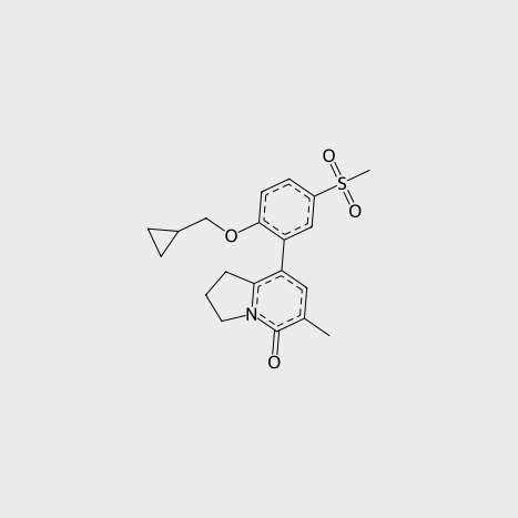 Cc1cc(-c2cc(S(C)(=O)=O)ccc2OCC2CC2)c2n(c1=O)CCC2